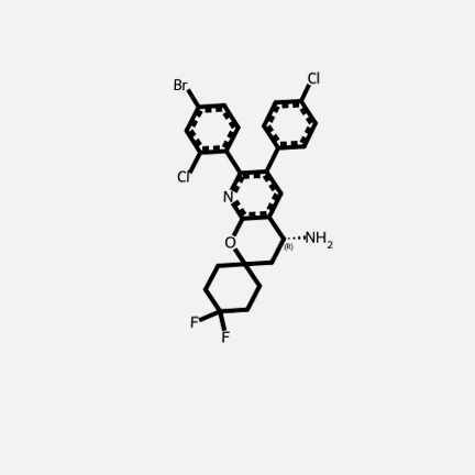 N[C@@H]1CC2(CCC(F)(F)CC2)Oc2nc(-c3ccc(Br)cc3Cl)c(-c3ccc(Cl)cc3)cc21